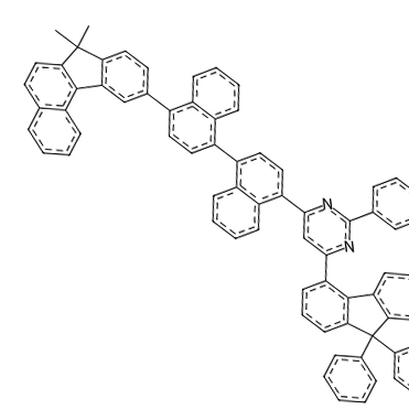 CC1(C)c2ccc(-c3ccc(-c4ccc(-c5cc(-c6cccc7c6-c6ccccc6C7(c6ccccc6)c6ccccc6)nc(-c6ccccc6)n5)c5ccccc45)c4ccccc34)cc2-c2c1ccc1ccccc21